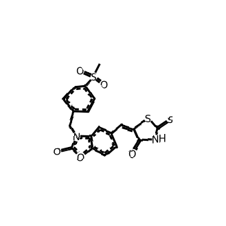 CS(=O)(=O)c1ccc(Cn2c(=O)oc3ccc(C=C4SC(=S)NC4=O)cc32)cc1